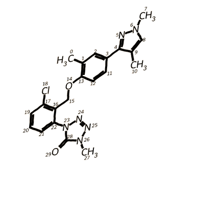 Cc1cc(-c2nn(C)cc2C)ccc1OCc1c(Cl)cccc1-n1nnn(C)c1=O